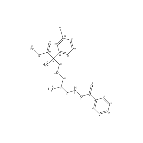 CC(CNOC(=O)c1ccccc1)COCC(C)(C(=O)CBr)c1cccc(I)c1